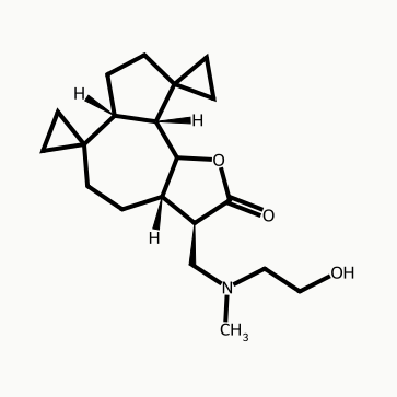 CN(CCO)C[C@@H]1C(=O)OC2[C@H]1CCC1(CC1)[C@@H]1CCC3(CC3)[C@H]21